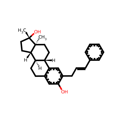 C[C@]1(O)CC[C@H]2[C@@H]3CCc4cc(O)c(C/C=C/c5ccccc5)cc4[C@H]3CC[C@@]21C